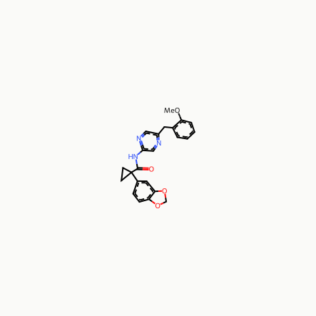 COc1ccccc1Cc1cnc(NC(=O)C2(c3ccc4c(c3)OCO4)CC2)cn1